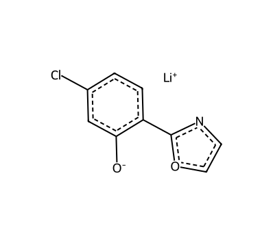 [Li+].[O-]c1cc(Cl)ccc1-c1ncco1